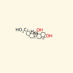 CC1(C)[C@@H](O)CC[C@]2(C)[C@H]3C(O)C=C4[C@H]5C[C@@](C)(C(=O)O)CC[C@]5(C)CC[C@@]4(C)[C@]3(C)CC[C@@]12C